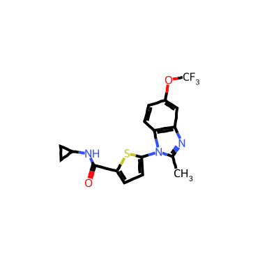 Cc1nc2cc(OC(F)(F)F)ccc2n1-c1ccc(C(=O)NC2CC2)s1